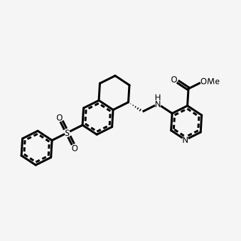 COC(=O)c1ccncc1NC[C@H]1CCCc2cc(S(=O)(=O)c3ccccc3)ccc21